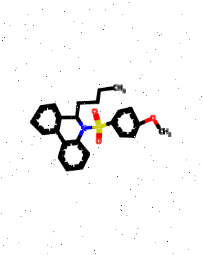 CCCCC1c2ccccc2-c2ccccc2N1S(=O)(=O)c1ccc(OC)cc1